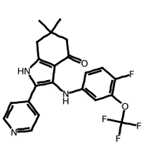 CC1(C)CC(=O)c2c([nH]c(-c3ccncc3)c2Nc2ccc(F)c(OC(F)(F)F)c2)C1